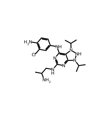 CC(N)CNc1nc(Nc2ccc(N)c(Cl)c2)c2c(n1)N(C(C)C)NN2C(C)C